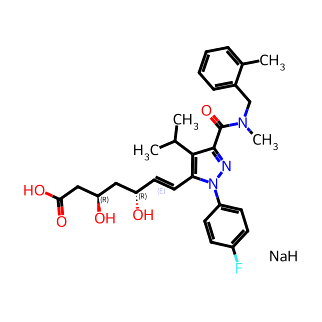 Cc1ccccc1CN(C)C(=O)c1nn(-c2ccc(F)cc2)c(/C=C/[C@H](O)C[C@@H](O)CC(=O)O)c1C(C)C.[NaH]